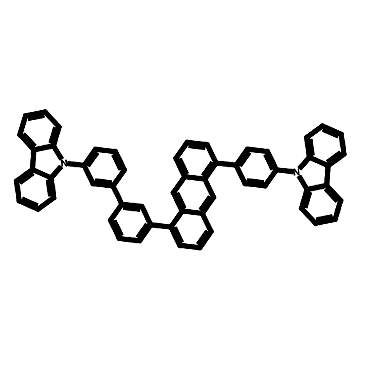 c1cc(-c2cccc(-n3c4ccccc4c4ccccc43)c2)cc(-c2cccc3cc4c(-c5ccc(-n6c7ccccc7c7ccccc76)cc5)cccc4cc23)c1